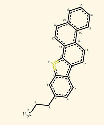 CCCc1ccc2c(c1)sc1c2ccc2c3ccccc3ccc21